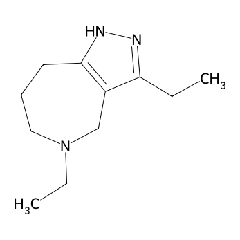 CCc1n[nH]c2c1CN(CC)CCC2